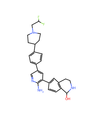 Nc1ncc(-c2ccc(C3CCN(CC(F)F)CC3)cc2)cc1-c1ccc2c(c1)CCNC2O